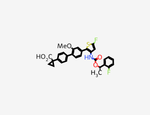 COc1cc(-c2sc(F)cc2NC(=O)O[C@H](C)c2ccccc2F)ccc1-c1ccc(C2(C(=O)O)CC2)cc1